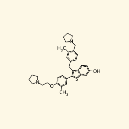 Cc1cc(Cc2c(-c3ccc(OCCN4CCCC4)c(C)c3)sc3cc(O)ccc23)ccc1CN1CCCC1